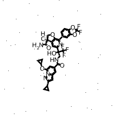 C[C@]1(C(N)=O)COc2c1cc(C(O)(CNC(=O)c1cc(OC3CC3)n3nc(C4CC4)cc3c1)C(F)(F)F)nc2-c1ccc2c(c1)OC(F)(F)O2